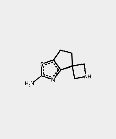 Nc1nc2c(s1)CCC21CNC1